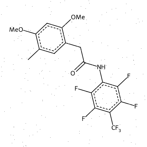 COc1cc(OC)c(CC(=O)Nc2c(F)c(F)c(C(F)(F)F)c(F)c2F)cc1C